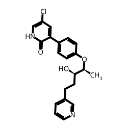 C[C@H](Oc1ccc(-c2cc(Cl)c[nH]c2=O)cc1)[C@H](O)CCc1cccnc1